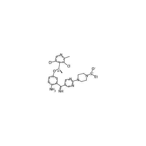 CC[S+]([O-])N1CCN(c2ncc(C(=N)c3cc(O[C@H](C)c4c(Cl)cnc(C)c4Cl)ccc3N)cn2)CC1